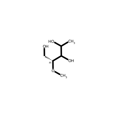 CO[C@H](CO)C(O)C(C)O